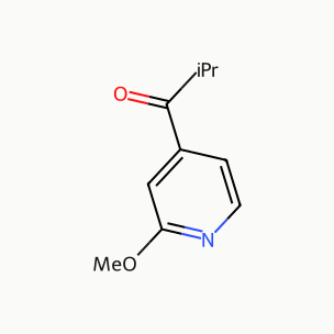 COc1cc(C(=O)C(C)C)ccn1